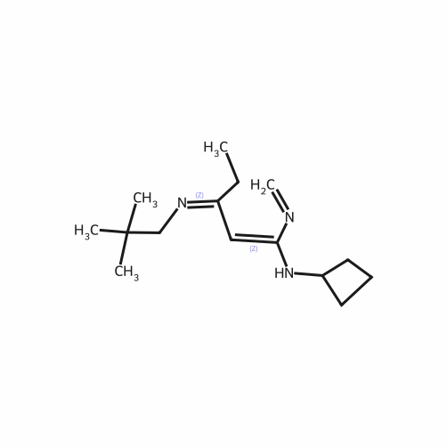 C=N/C(=C\C(CC)=N/CC(C)(C)C)NC1CCC1